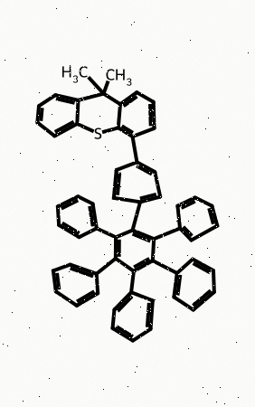 CC1(C)c2ccccc2Sc2c(-c3ccc(-c4c(-c5ccccc5)c(-c5ccccc5)c(-c5ccccc5)c(-c5ccccc5)c4-c4ccccc4)cc3)cccc21